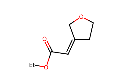 CCOC(=O)/C=C1/CCOC1